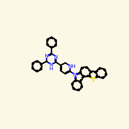 C1=C(C2=NC(c3ccccc3)=NC(c3ccccc3)N2)CNC(n2c3ccccc3c3c4sc5ccccc5c4ccc32)=C1